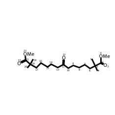 COC(=O)C(C)(C)CCCCCC(=O)CCCCCC(C)(C)C(=O)OC